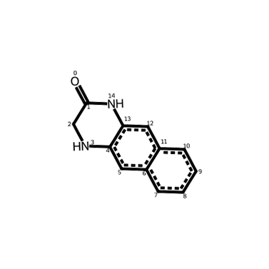 O=C1CNc2cc3ccccc3cc2N1